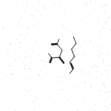 C=C(CC(=O)O)C(=O)O.CCCCC=CO